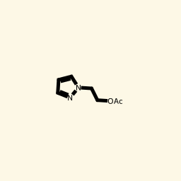 CC(=O)OCCn1cccn1